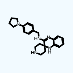 c1ccc2c(c1)N=C(NCc1ccc(N3CCCC3)cc1)C1(CCNCC1)N2